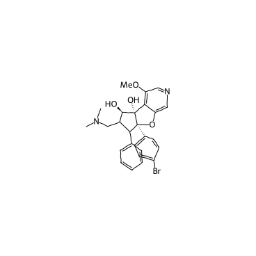 COc1cncc2c1[C@]1(O)[C@H](O)C(CN(C)C)C(c3ccccc3)[C@]1(c1ccc(Br)cc1)O2